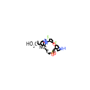 CC(Cc1cccc(C2(C#N)CCCC(C)(C)CS(=O)(=O)CCc3c(c(F)cc4[nH]ccc34)Oc3ccc(F)c(c3)-c3nc2nn3C)c1)C(=O)O